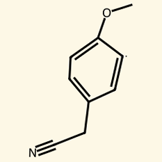 COc1[c]cc(CC#N)cc1